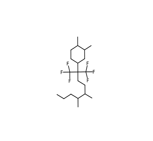 CCCC(C)C(C)CCC(C1CCC(C)C(C)C1)(C(F)(F)F)C(F)(F)F